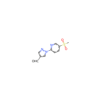 CS(=O)(=O)c1ccc(-n2cc(C=O)cn2)nc1